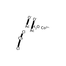 CC(=O)[O-].CC(=O)[O-].O.[Cl][Co][Cl].[Co+2]